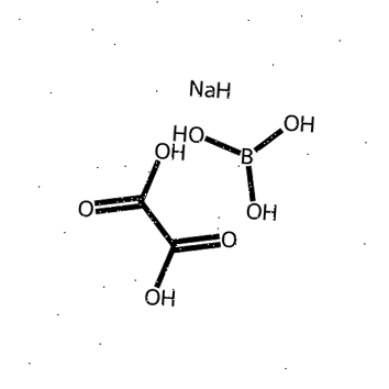 O=C(O)C(=O)O.OB(O)O.[NaH]